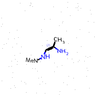 CNN/C=C(/C)N